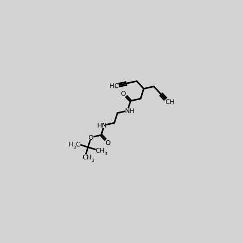 C#CCC(CC#C)CC(=O)NCCNC(=O)OC(C)(C)C